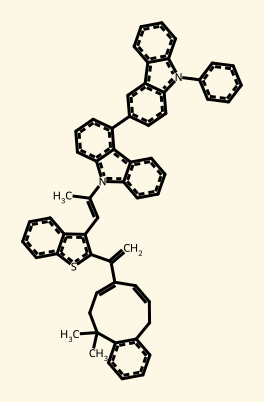 C=C(C1=C/CC(C)(C)c2ccccc2C/C=C\1)c1sc2ccccc2c1/C=C(\C)n1c2ccccc2c2c(-c3ccc4c(c3)c3ccccc3n4-c3ccccc3)cccc21